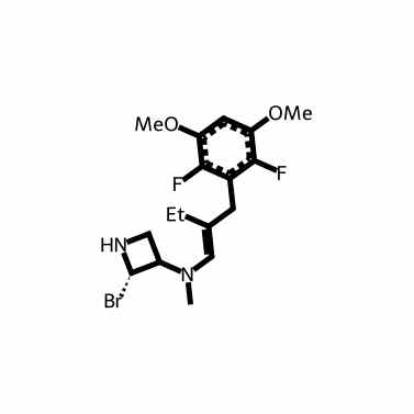 CC/C(=C\N(C)C1CN[C@H]1Br)Cc1c(F)c(OC)cc(OC)c1F